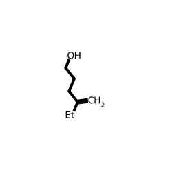 C=C(CC)CCCO